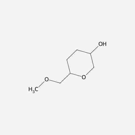 COCC1CCC(O)CO1